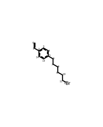 C=Cc1ccc(CCCCCCBr)cc1